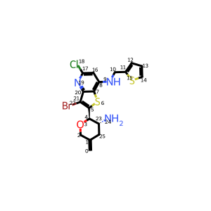 C=C1CO[C@@H](c2sc3c(NCc4cccs4)cc(Cl)nc3c2Br)[C@H](N)C1